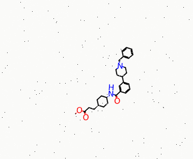 COC(=O)CC[C@H]1CC[C@H](NC(=O)c2cccc(C3CCN(Cc4ccccc4)CC3)c2)CC1